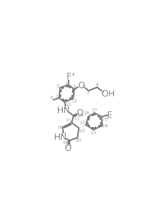 Cc1cc(F)c(OCCO)cc1NC(=O)C1=CNC(=O)C[C@H]1c1ccc(F)cc1